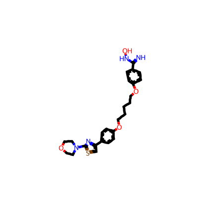 N=C(NO)c1ccc(OCCCCCOc2ccc(-c3csc(N4CCOCC4)n3)cc2)cc1